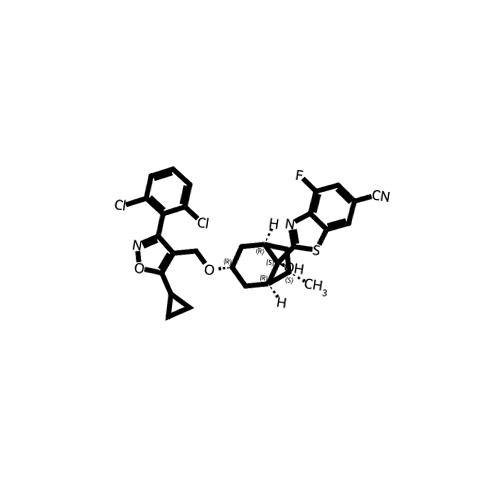 C[C@H]1C[C@@H]2C[C@@H](OCc3c(-c4c(Cl)cccc4Cl)noc3C3CC3)C[C@H]1[C@]2(O)c1nc2c(F)cc(C#N)cc2s1